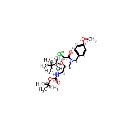 COc1ccc(CN(C[C@H](CNC(=O)OC(C)(C)C)O[Si](C)(C)C(C)(C)C)C(=O)CCl)cc1